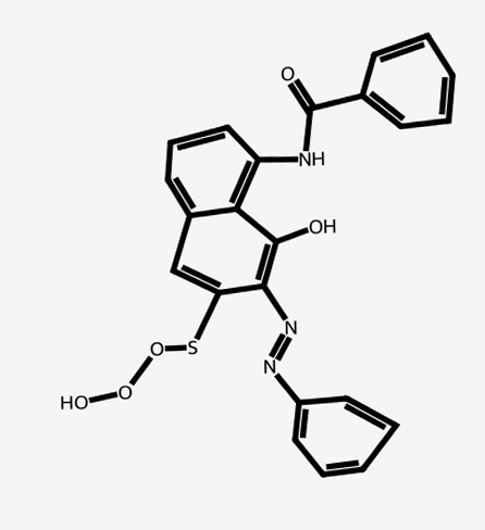 O=C(Nc1cccc2cc(SOOO)c(N=Nc3ccccc3)c(O)c12)c1ccccc1